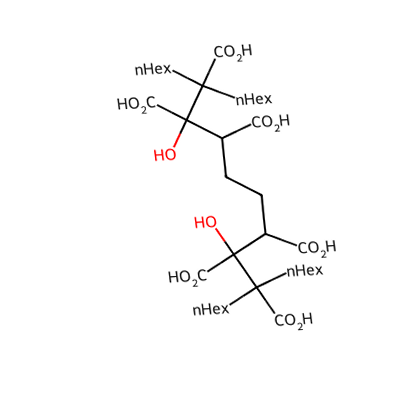 CCCCCCC(CCCCCC)(C(=O)O)C(O)(C(=O)O)C(CCC(C(=O)O)C(O)(C(=O)O)C(CCCCCC)(CCCCCC)C(=O)O)C(=O)O